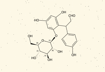 O=CCC(c1ccc(O)cc1)c1c(O)cc(O)cc1O[C@@H]1O[C@H](CO)[C@@H](O)[C@H](O)[C@H]1O